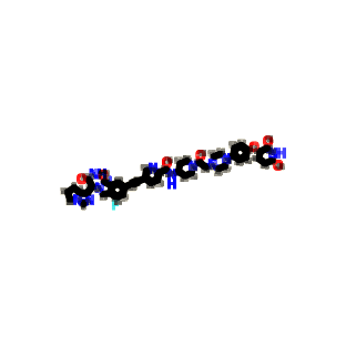 NC(=O)C(c1ncn2c1CCC2)N1Cc2c(F)cc(C#Cc3ccc(C(=O)NC4CCN(C(=O)CN5CCN(c6ccc(OC7CCC(=O)NC7=O)cc6)CC5)CC4)nc3)cc2C1=O